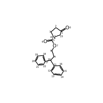 O=C1CCN(C(=O)OCCC(c2ccccc2)c2ccccc2)C1